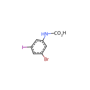 O=C(O)Nc1cc(Br)cc(I)c1